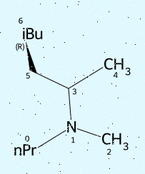 CCCN(C)C(C)C[C@H](C)CC